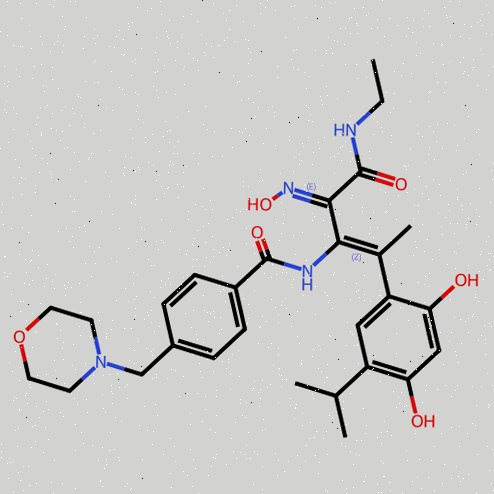 CCNC(=O)C(=N/O)/C(NC(=O)c1ccc(CN2CCOCC2)cc1)=C(\C)c1cc(C(C)C)c(O)cc1O